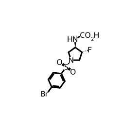 O=C(O)N[C@@H]1CN(S(=O)(=O)c2ccc(Br)cc2)C[C@H]1F